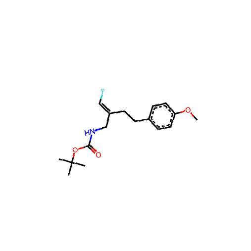 COc1ccc(CC/C(=C\F)CNC(=O)OC(C)(C)C)cc1